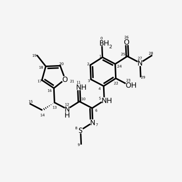 Bc1ccc(N/C(=N/SC)C(=N)N[C@H](CC)c2cc(C)co2)c(O)c1C(=O)N(C)C